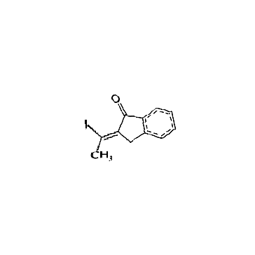 C/C(I)=C1\Cc2ccccc2C1=O